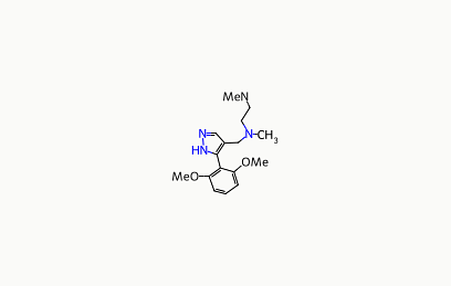 CNCCN(C)Cc1cn[nH]c1-c1c(OC)cccc1OC